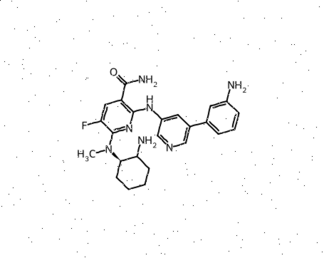 CN(c1nc(Nc2cncc(-c3cccc(N)c3)c2)c(C(N)=O)cc1F)[C@@H]1CCCCC1N